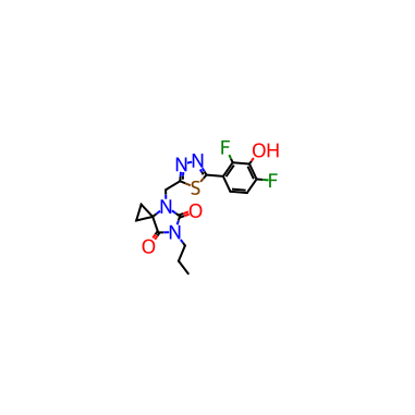 CCCN1C(=O)N(Cc2nnc(-c3ccc(F)c(O)c3F)s2)C2(CC2)C1=O